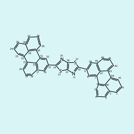 c1cc2cccc3c4cc(-c5nc6sc(-c7cc8cccc9c%10cccc%11cccc(c(c7)c89)c%11%10)nc6s5)cc5cccc(c(c1)c23)c54